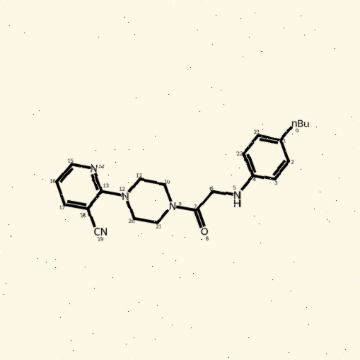 CCCCc1ccc(NCC(=O)N2CCN(c3ncccc3C#N)CC2)cc1